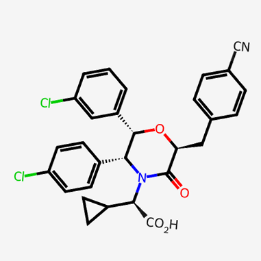 N#Cc1ccc(C[C@@H]2O[C@@H](c3cccc(Cl)c3)[C@@H](c3ccc(Cl)cc3)N([C@@H](C(=O)O)C3CC3)C2=O)cc1